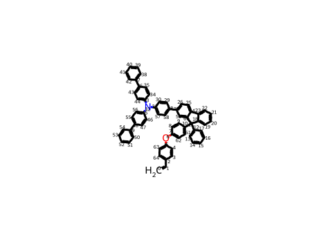 C=Cc1ccc(Oc2ccc(C3(c4ccccc4)c4ccccc4-c4ccc(-c5ccc(N(c6ccc(-c7ccccc7)cc6)c6ccc(-c7ccccc7)cc6)cc5)cc43)cc2)cc1